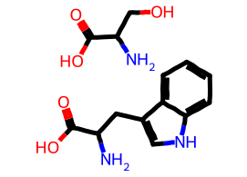 NC(CO)C(=O)O.NC(Cc1c[nH]c2ccccc12)C(=O)O